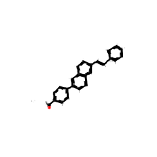 COC(=O)c1ccc(-c2ccc3cc(C=Cc4ccccc4)ccc3c2)cc1